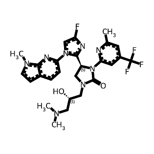 Cc1cc(C(F)(F)F)cc(N2C(=O)N(C[C@@H](O)CN(C)C)C[C@H]2c2nc(F)cn2-c2ccc3ccn(C)c3n2)n1